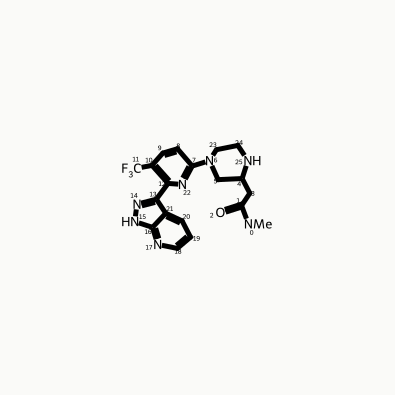 CNC(=O)CC1CN(c2ccc(C(F)(F)F)c(-c3n[nH]c4ncccc34)n2)CCN1